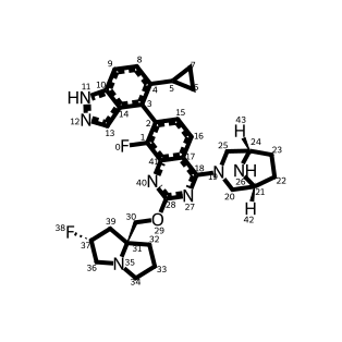 Fc1c(-c2c(C3CC3)ccc3[nH]ncc23)ccc2c(N3C[C@H]4CC[C@@H](C3)N4)nc(OC[C@@]34CCCN3C[C@H](F)C4)nc12